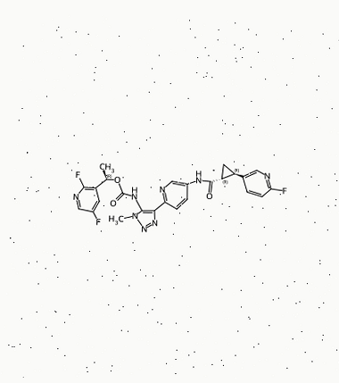 C[C@@H](OC(=O)Nc1c(-c2ccc(NC(=O)[C@@H]3C[C@H]3c3ccc(F)nc3)cn2)nnn1C)c1cc(F)cnc1F